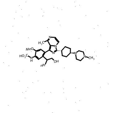 CCCC(CO)c1cc(NC(=O)O)c(OC)cc1-c1nc([C@H]2CC[C@H](N3CCN(C)CC3)CC2)n2ccnc(C)c12